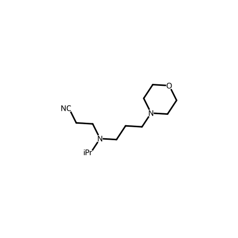 CC(C)N(CCC#N)CCCN1CCOCC1